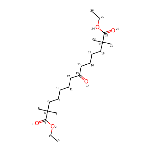 CCOC(=O)C(C)(C)CCCCCC(=O)CCCCC(C)(C)C(=O)OCC